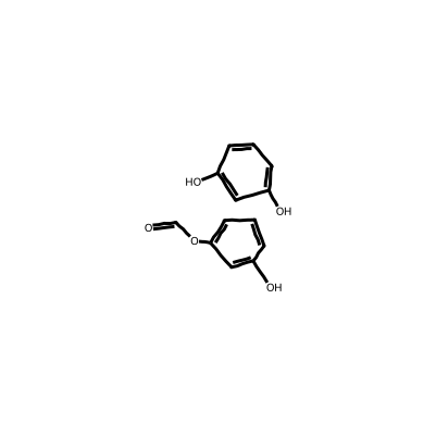 O=COc1cccc(O)c1.Oc1cccc(O)c1